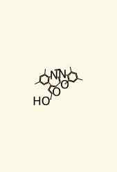 Cc1cc(C)c(N2C=CN3C2=C(c2ccc(CO)o2)Oc2cc(C)cc(C)c23)c(C)c1